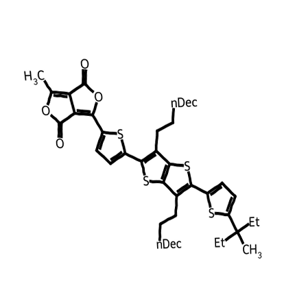 CCCCCCCCCCCCc1c(-c2ccc(C3=C4C(=O)OC(C)=C4C(=O)O3)s2)sc2c(CCCCCCCCCCCC)c(-c3ccc(C(C)(CC)CC)s3)sc12